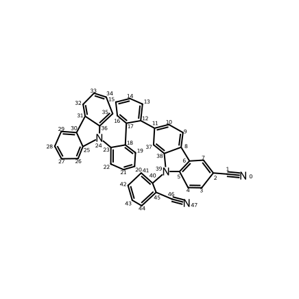 N#Cc1ccc2c(c1)c1ccc(-c3ccccc3-c3ccccc3-n3c4ccccc4c4ccccc43)cc1n2-c1ccccc1C#N